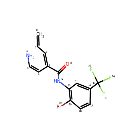 C=C/C=C(\C=C/N)C(=O)Nc1cc(C(F)(F)F)ccc1Br